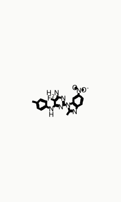 Cc1ccc(Nc2nc(-n3c(C)nc4ccc([N+](=O)[O-])cc43)nc(N)c2F)cc1